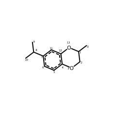 CC1COc2ccc(C(C)C)cc2O1